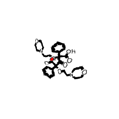 O=C(O)C(OCCN1CCOCC1)(C(=O)C(OCCN1CCOCC1)(C(=O)O)c1ccccc1)c1ccccc1